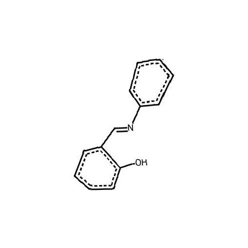 Oc1ccccc1C=Nc1cc[c]cc1